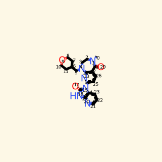 CN1CCN(CC2CCOCC2)c2nc(-n3c(=O)[nH]c4ncccc43)ccc2C1=O